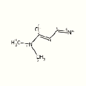 CN(C)C=CC=[N+].[Cl-]